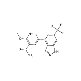 COc1ncc(-c2cc(C(F)(F)F)cc3[nH]ncc23)cc1C(N)=O